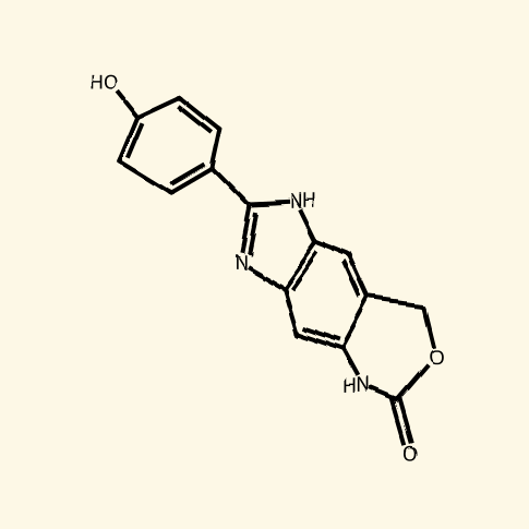 O=C1Nc2cc3nc(-c4ccc(O)cc4)[nH]c3cc2CO1